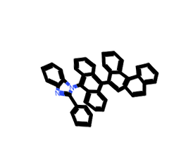 c1ccc(-c2nc3ccccc3n2-c2c3ccccc3c(-c3cc4ccc5ccccc5c4c4ccccc34)c3ccccc23)cc1